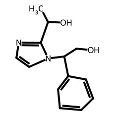 CC(O)c1nccn1C(CO)c1ccccc1